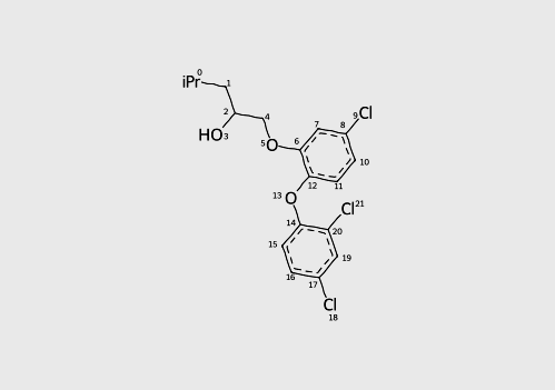 CC(C)CC(O)COc1cc(Cl)ccc1Oc1ccc(Cl)cc1Cl